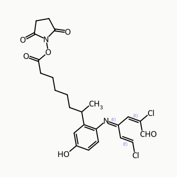 CC(CCCCCC(=O)ON1C(=O)CCC1=O)c1cc(O)ccc1/N=C(\C=C\Cl)/C=C(/Cl)C=O